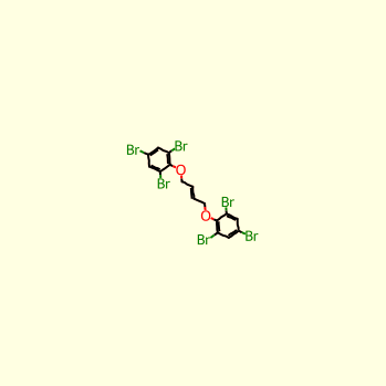 Brc1cc(Br)c(OCC=CCOc2c(Br)cc(Br)cc2Br)c(Br)c1